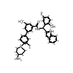 Cc1cc(C(=O)NC(c2cc3ccccc3[nH]2)c2cc(F)ccc2O)cc(-c2ccc(N3CCC(N)CC3)c(F)c2)c1